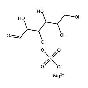 O=CC(O)C(O)C(O)C(O)CO.O=S(=O)([O-])[O-].[Mg+2]